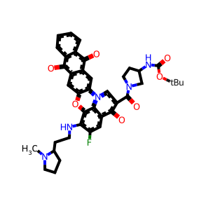 CN1CCCC1CCNc1c(F)cc2c(=O)c(C(=O)N3CCC(NC(=O)OC(C)(C)C)C3)cn3c4cc5c(=O)c6ccccc6c(=O)c5cc4oc1c23